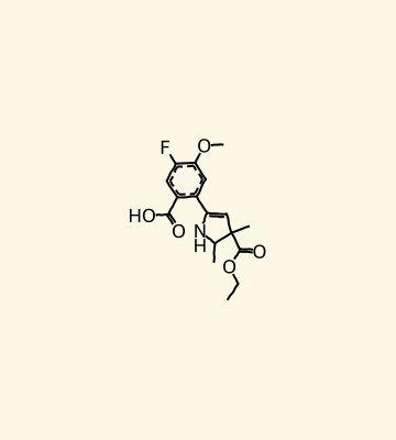 CCOC(=O)C1(C)C=C(c2cc(OC)c(F)cc2C(=O)O)NC1C